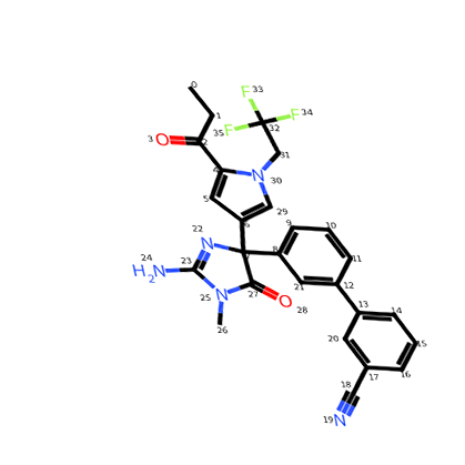 CCC(=O)c1cc(C2(c3cccc(-c4cccc(C#N)c4)c3)N=C(N)N(C)C2=O)cn1CC(F)(F)F